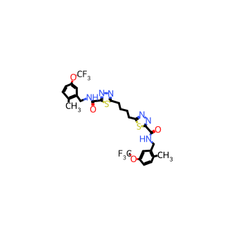 Cc1ccc(OC(F)(F)F)cc1CNC(=O)c1nnc(CCCCc2nnc(C(=O)NCc3cc(OC(F)(F)F)ccc3C)s2)s1